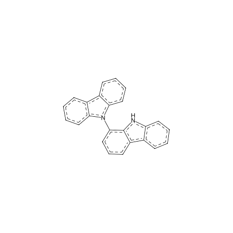 c1ccc2c(c1)[nH]c1c(-n3c4ccccc4c4ccccc43)cccc12